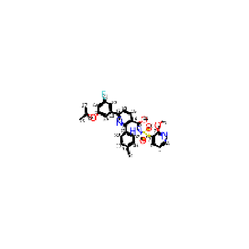 COc1ncccc1S(=O)(=O)NC(=O)c1ccc(-c2cc(F)cc(OC(C)C)c2)nc1-c1ccc(C)cc1